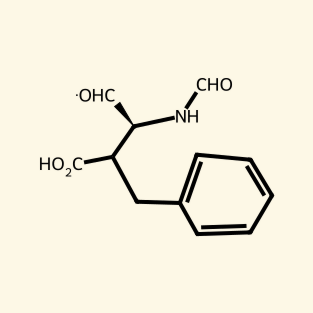 O=[C][C@@H](NC=O)C(Cc1ccccc1)C(=O)O